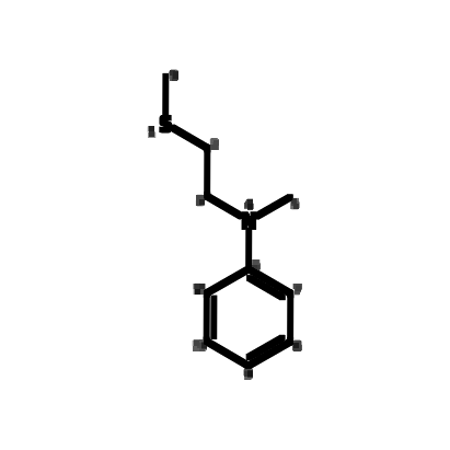 CSCCN(C)c1ccccc1